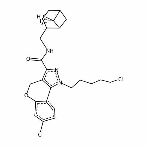 CC1(C)C2CCC(CNC(=O)c3nn(CCCCCCl)c4c3COc3cc(Cl)ccc3-4)C1C2